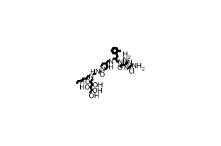 CCCCCCN(CCNC(=O)N1CCC(CNCC(CNC(=O)c2nc(Cl)c(N)nc2N)Cc2ccccc2C)CC1)C[C@H](O)[C@@H](O)[C@H](O)[C@H](O)CO